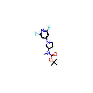 CN(C(=O)OC(C)(C)C)C1CCN(c2cc(F)nc(F)c2)C1